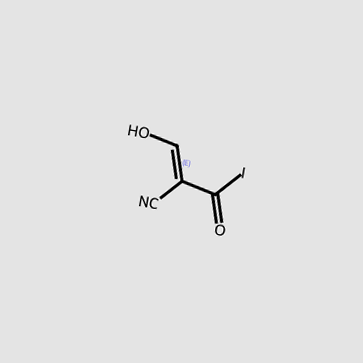 N#C/C(=C\O)C(=O)I